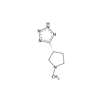 CN1CC[C@@H](c2nn[nH]n2)C1